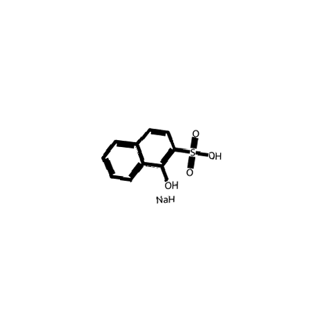 O=S(=O)(O)c1ccc2ccccc2c1O.[NaH]